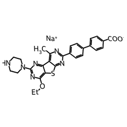 CCOc1nc(N2CCNCC2)nc2c1sc1nc(-c3ccc(-c4ccc(C(=O)[O-])cc4)cc3)nc(C)c12.[Na+]